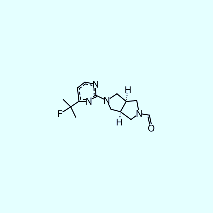 CC(C)(F)c1ccnc(N2C[C@H]3CN(C=O)C[C@H]3C2)n1